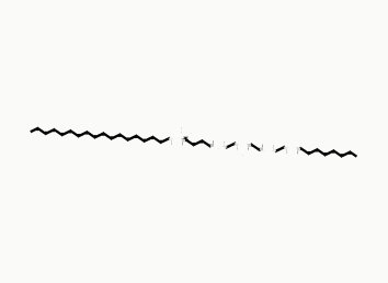 CCCCCCCCCCCCCCCCCCOC(=O)CCCOCCOCCOCCOCCCCCCCC